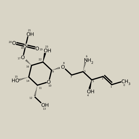 C/C=C/[C@@H](O)[C@@H](N)CO[C@@H]1O[C@H](CO)[C@H](O)[C@H](OS(=O)(=O)O)[C@H]1O